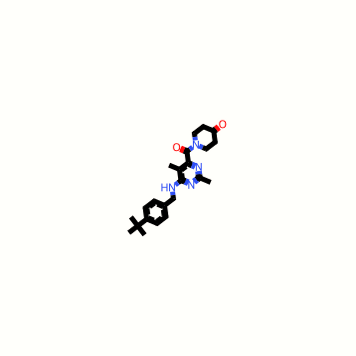 Cc1nc(NCc2ccc(C(C)(C)C)cc2)c(C)c(C(=O)N2CCC(=O)CC2)n1